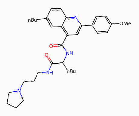 CCCCc1ccc2nc(-c3ccc(OC)cc3)cc(C(=O)NC(CCCC)C(=O)NCCCN3CCCC3)c2c1